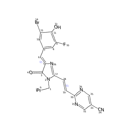 CC(C)CN1C(=O)/C(=C/c2cc(F)c(O)c(Br)c2)N=C1/C=C/c1ncc(C#N)cn1